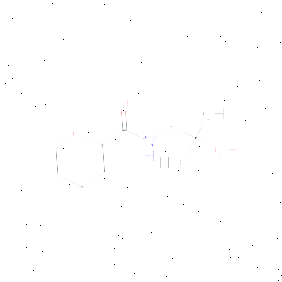 CC(C)(O)CNC(=O)C1C[CH]CCO1